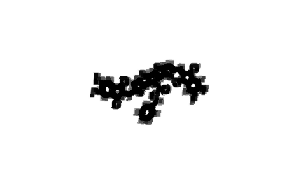 O=C1C(=Cc2cc3sc4c5sc6cc(C=C7C(=O)c8cc(F)c(F)cc8C7=O)sc6c5n(C(=O)OCc5ccccc5)c4c3s2)C(=O)c2cc(F)c(F)cc21